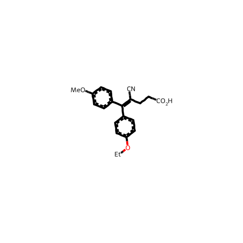 CCOc1ccc(/C(=C(/C#N)CCC(=O)O)c2ccc(OC)cc2)cc1